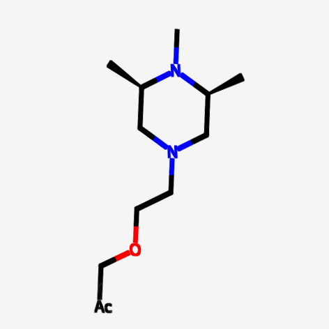 CC(=O)COCCN1C[C@@H](C)N(C)[C@@H](C)C1